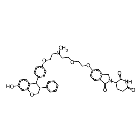 CN(CCOCCOc1ccc2c(c1)CN(C1CCC(=O)NC1=O)C2=O)CCOc1ccc(C2c3ccc(O)cc3OC[C@@H]2c2ccccc2)cc1